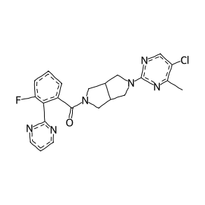 Cc1nc(N2CC3CN(C(=O)c4cccc(F)c4-c4ncccn4)CC3C2)ncc1Cl